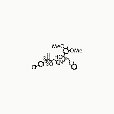 COc1cc([C@@H](O)[C@@H](CC2Cc3ccccc3C2)Cn2ccc(CC(=O)NS(=O)(=O)c3ccc(Cl)cc3)c2)cc(OC)c1C